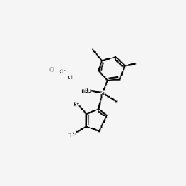 CCCC[Si](C)(C1=CC[C]([Ti+3])=C1CC)c1cc(C)cc(C)c1.[Cl-].[Cl-].[Cl-]